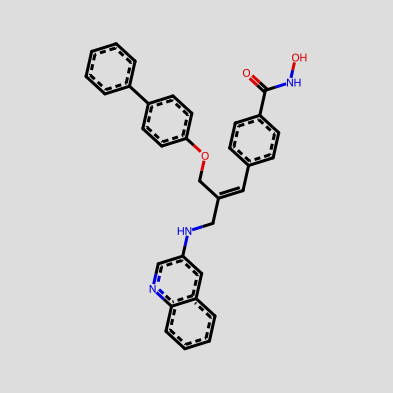 O=C(NO)c1ccc(C=C(CNc2cnc3ccccc3c2)COc2ccc(-c3ccccc3)cc2)cc1